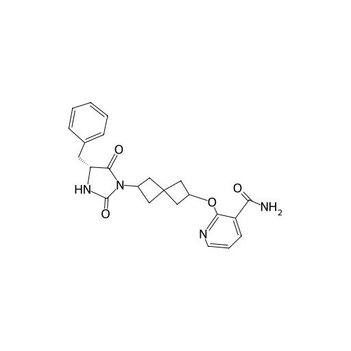 NC(=O)c1cccnc1OC1CC2(C1)CC(N1C(=O)N[C@H](Cc3ccccc3)C1=O)C2